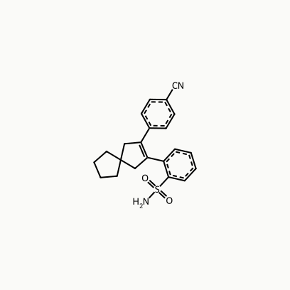 N#Cc1ccc(C2=C(c3ccccc3S(N)(=O)=O)CC3(CCCC3)C2)cc1